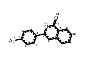 CC(=O)c1ccc(-c2cc3ccccc3c(=O)o2)cc1